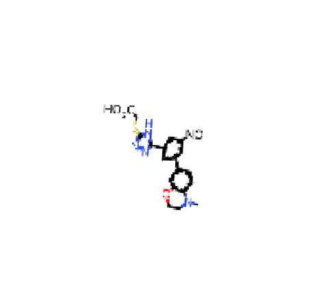 CN1CCOc2cc(-c3cc(N=O)cc(-c4nnc(SCC(=O)O)[nH]4)c3)ccc21